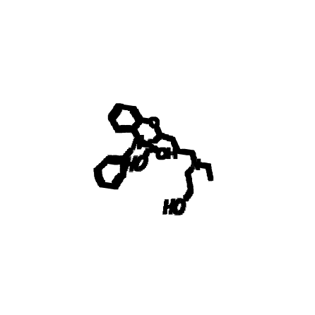 CCN(CCO)CCCC1Oc2ccccc2N(c2ccccc2)S1(O)O